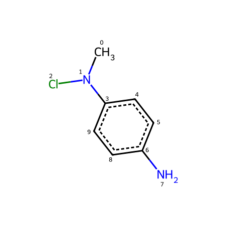 CN(Cl)c1ccc(N)cc1